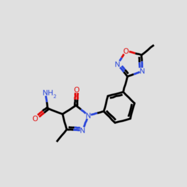 CC1=NN(c2cccc(-c3noc(C)n3)c2)C(=O)C1C(N)=O